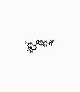 Cc1nc2ccc(-c3ccn4nc(NCC(C)(C)C(F)(F)F)ncc34)nc2n1CC(F)F